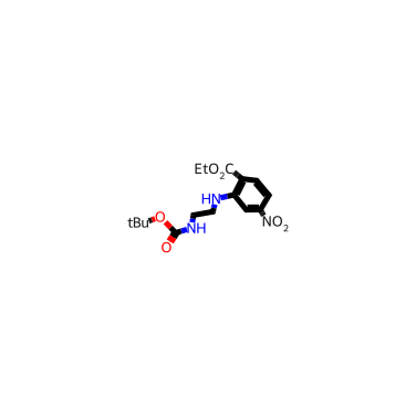 CCOC(=O)c1ccc([N+](=O)[O-])cc1NCCNC(=O)OC(C)(C)C